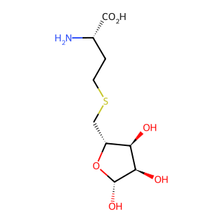 N[C@@H](CCSC[C@H]1O[C@@H](O)[C@H](O)[C@@H]1O)C(=O)O